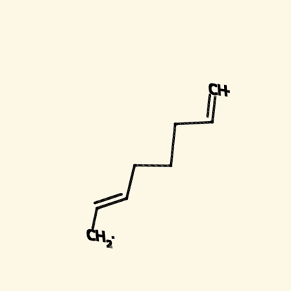 [CH]=CCCCC=C[CH2]